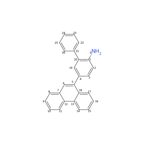 Nc1ccc(-c2cc3ccccc3c3ccccc23)cc1-c1ccccc1